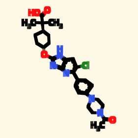 CC(=O)N1CCN(c2ccc(-c3nc4nc(O[C@H]5CC[C@H](C(C)(C)C(=O)O)CC5)[nH]c4cc3Cl)cc2)CC1